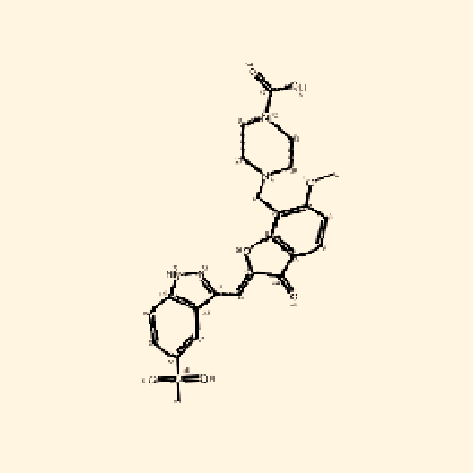 COc1ccc2c(c1CN1CCN(C(=O)O)CC1)OC(=Cc1n[nH]c3ccc(S(C)(=O)=O)cc13)C2=O